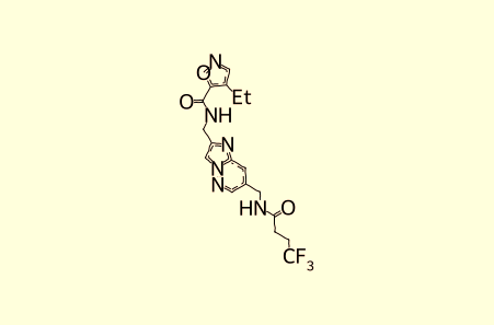 CCc1cnoc1C(=O)NCc1cn2ncc(CNC(=O)CCC(F)(F)F)cc2n1